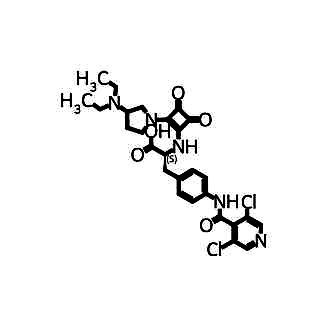 CCN(CC)C1CCN(c2c(N[C@@H](Cc3ccc(NC(=O)c4c(Cl)cncc4Cl)cc3)C(=O)O)c(=O)c2=O)C1